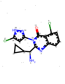 N[C@H](c1nc2cccc(Cl)c2c(=O)n1-c1cc(Cl)[nH]n1)C1CC1